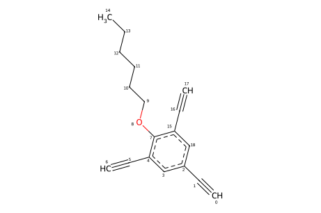 C#Cc1cc(C#C)c(OCCCCCC)c(C#C)c1